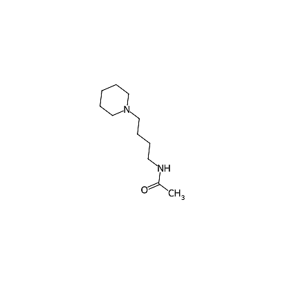 CC(=O)NCCCCN1CCCCC1